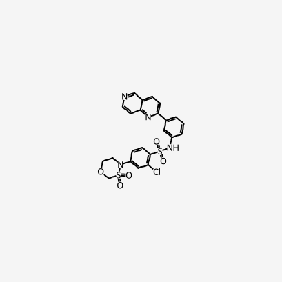 O=S(=O)(Nc1cccc(-c2ccc3cnccc3n2)c1)c1ccc(N2CCOCS2(=O)=O)cc1Cl